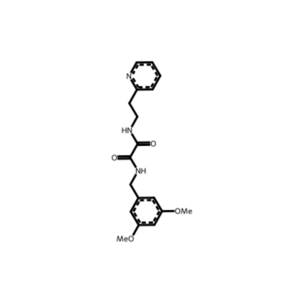 COc1cc(CNC(=O)C(=O)NCCc2ccccn2)cc(OC)c1